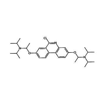 CC(C)N(C(C)C)C(C)Oc1ccc2c(c1)nc(Cl)c1cc(OC(C)N(C(C)C)C(C)C)ccc12